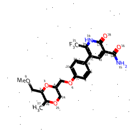 COCC1OC(COc2ccc(-c3cc(C(N)=O)c(=O)[nH]c3C(F)(F)F)cc2)COC1C